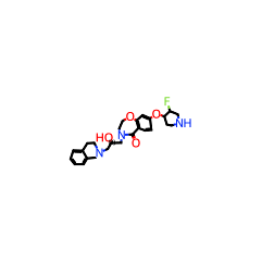 O=C1c2ccc(OC3CCNCC3F)cc2OCCN1C[C@H](O)CN1CCc2ccccc2C1